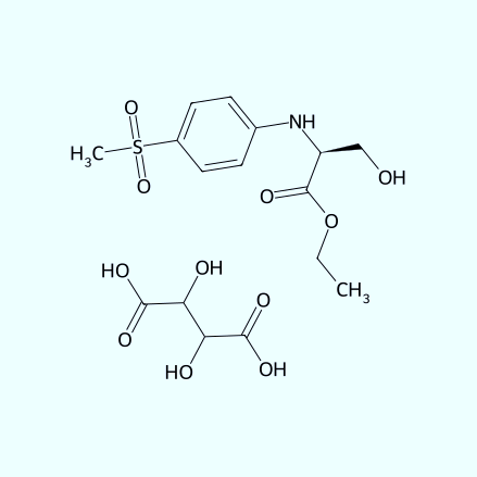 CCOC(=O)[C@H](CO)Nc1ccc(S(C)(=O)=O)cc1.O=C(O)C(O)C(O)C(=O)O